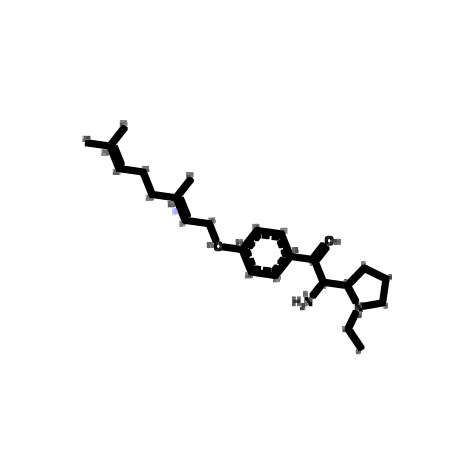 CCN1CCCC1C(N)C(=O)c1ccc(OC/C=C(\C)CCC=C(C)C)cc1